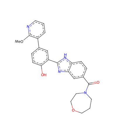 COc1ncccc1-c1ccc(O)c(-c2nc3cc(C(=O)N4CCCOCC4)ccc3[nH]2)c1